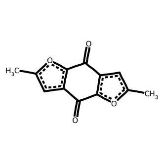 Cc1cc2c(o1)C(=O)c1cc(C)oc1C2=O